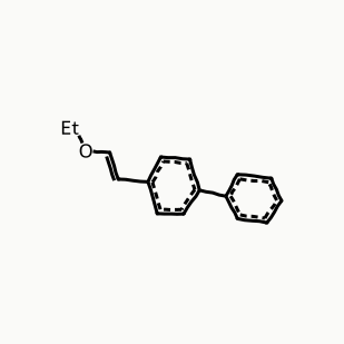 CCO/C=C/c1ccc(-c2ccccc2)cc1